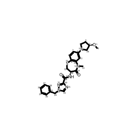 CO[C@@H]1CCN(c2ccc3c(c2)N(C)C(=O)[C@@H](NC(=O)c2ncn(Cc4ccccc4)n2)CS3)C1